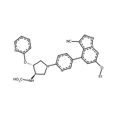 CCOc1cc(-c2ccc(N3C[C@@H](NC(=O)O)[C@H](Oc4ccccn4)C3)nc2)c2c(C#N)cnn2c1